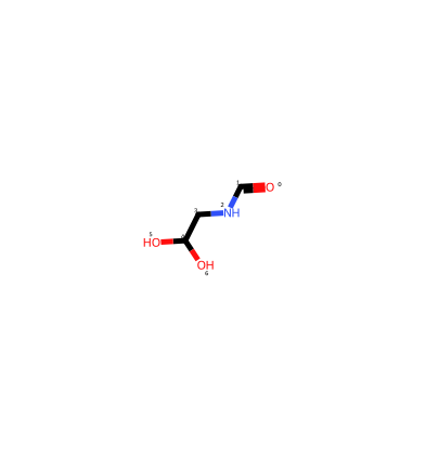 O=CNCC(O)O